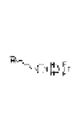 CCNCCCCN1CCN(c2ncc(C(F)(F)F)cn2)CC1